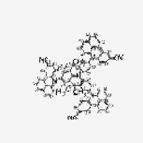 CC1(C)c2cc(N(c3ccc(C#N)cc3)c3cccc4ccccc34)ccc2N2c3ccc(N(c4ccc(C#N)cc4)c4cccc5ccccc45)cc3C(C)(C)c3cc(N(C4=CCC(C#N)C=C4)C4CC=Cc5ccccc54)cc1c32